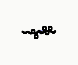 CCCCOC(=O)/C=C/C(=O)OC(=O)CC